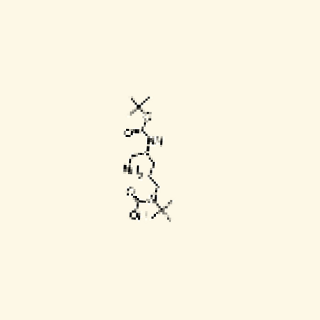 CC(C)(C)OC(=O)N[C@H](CN)CCCN(C(=O)O)C(C)(C)C